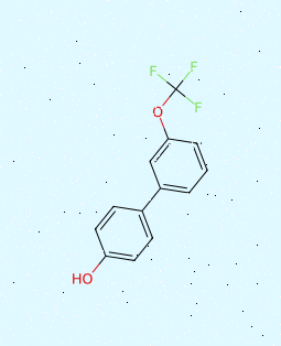 Oc1ccc(-c2cc[c]c(OC(F)(F)F)c2)cc1